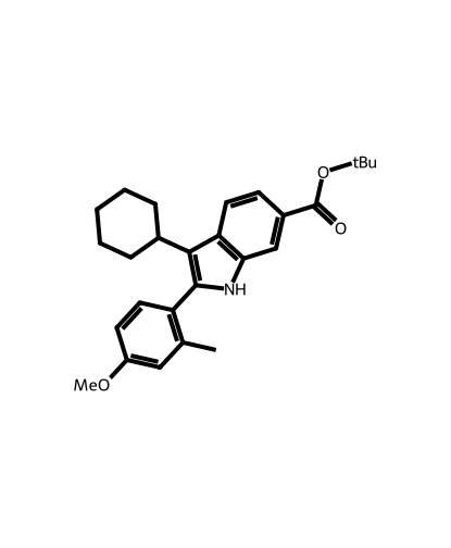 COc1ccc(-c2[nH]c3cc(C(=O)OC(C)(C)C)ccc3c2C2CCCCC2)c(C)c1